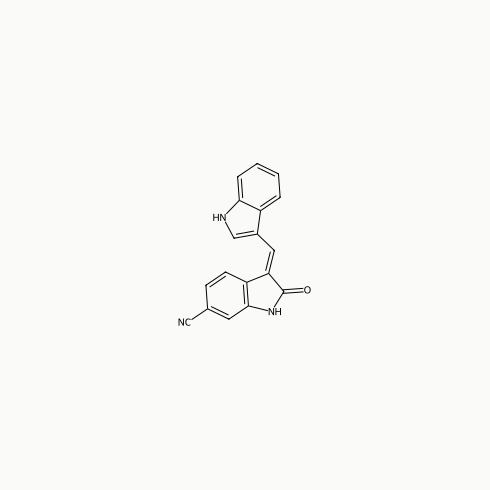 N#Cc1ccc2c(c1)NC(=O)/C2=C/c1c[nH]c2ccccc12